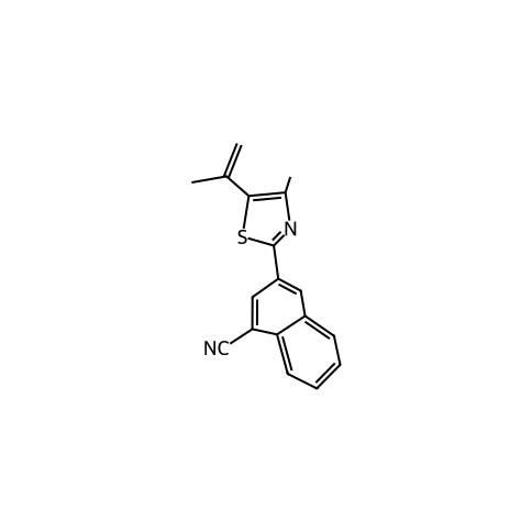 C=C(C)c1sc(-c2cc(C#N)c3ccccc3c2)nc1C